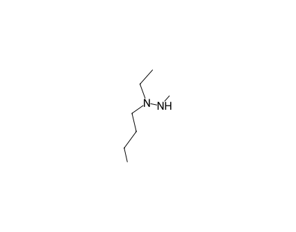 CCCCN(CC)NC